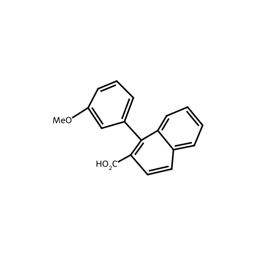 COc1cccc(-c2c(C(=O)O)ccc3ccccc23)c1